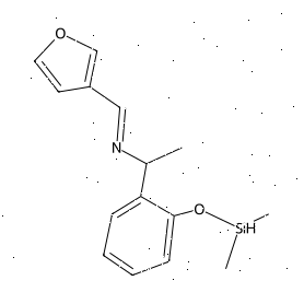 CC(N=Cc1ccoc1)c1ccccc1O[SiH](C)C